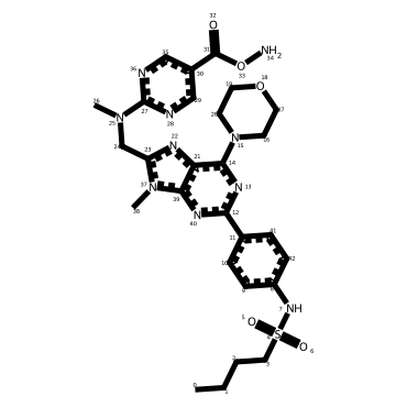 CCCCS(=O)(=O)Nc1ccc(-c2nc(N3CCOCC3)c3nc(CN(C)c4ncc(C(=O)ON)cn4)n(C)c3n2)cc1